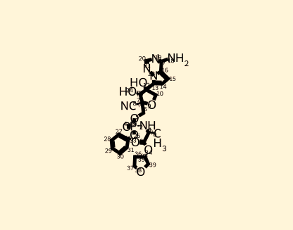 C[C@H](N[P@](=O)(OC[C@@]1(C#N)OCC(O)(c2ccc3c(N)ncnn23)[C@@H]1O)Oc1ccccc1)C(=O)O[C@H]1CCOC1